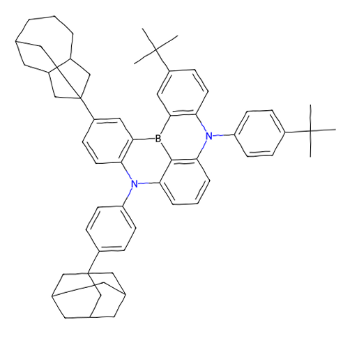 CC(C)(C)c1ccc(N2c3ccc(C(C)(C)C)cc3B3c4cc(C56CC7CCCC(C5)C(C7)C6)ccc4N(c4ccc(C56CC7CC(CC(C7)C5)C6)cc4)c4cccc2c43)cc1